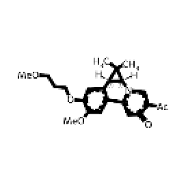 COCCCOc1cc2c(cc1OC)-c1cc(=O)c(C(C)=O)cn1[C@H]1[C@@H]2C1(C)C